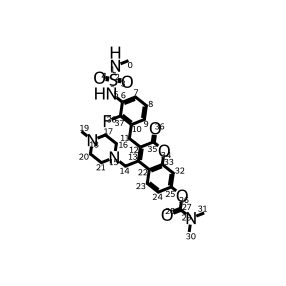 CNS(=O)(=O)Nc1cccc(Cc2c(CN3CCN(C)CC3)c3ccc(OC(=O)N(C)C)cc3oc2=O)c1F